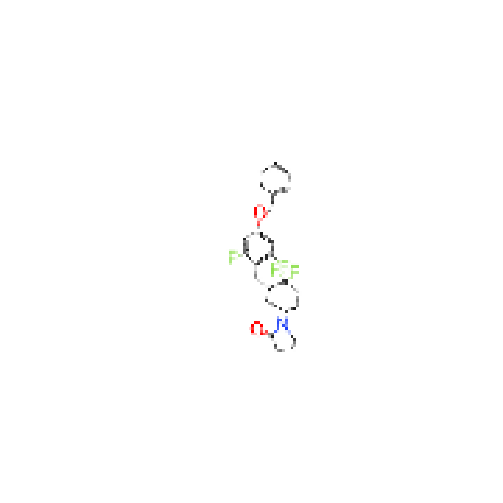 O=C1CCCN1C1CCC(F)(F)[C@@H](Cc2c(F)cc(OCc3ccccc3)cc2F)C1